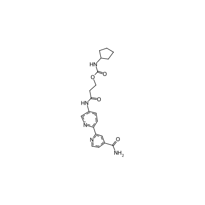 NC(=O)c1ccnc(-c2ccc(NC(=O)CCOC(=O)NC3CCCC3)cn2)c1